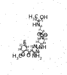 CC[C@@H](CO)NCCCS(=O)(=O)N1CCC(Nc2ncc(C(=O)c3cc(F)ccc3OC)c(N)n2)CC1